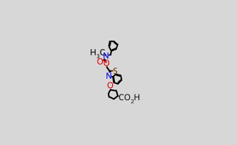 CN(Cc1ccccc1)C(=O)OCc1nc2c(O[C@H]3CCC[C@H](C(=O)O)C3)cccc2s1